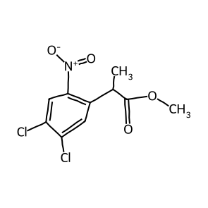 COC(=O)C(C)c1cc(Cl)c(Cl)cc1[N+](=O)[O-]